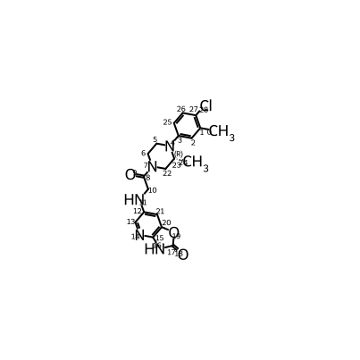 Cc1cc(N2CCN(C(=O)CNc3cnc4[nH]c(=O)oc4c3)C[C@H]2C)ccc1Cl